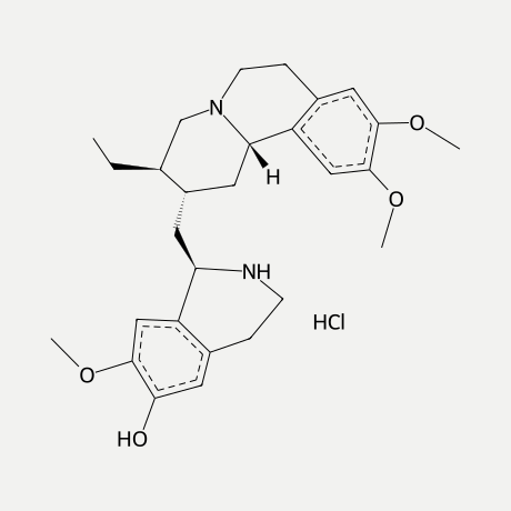 CC[C@H]1CN2CCc3cc(OC)c(OC)cc3[C@@H]2C[C@@H]1C[C@H]1NCCc2cc(O)c(OC)cc21.Cl